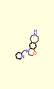 c1ccc(CN2CCOc3cc4c(cc32)CCNCC4)nc1